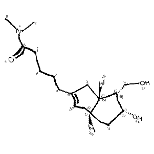 CN(C)C(=O)CCCCC1=C[C@H]2C[C@@H](O)[C@@H](CO)[C@H]2C1